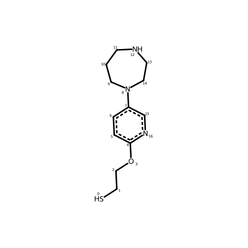 SCCOc1ccc(N2CCCNCC2)cn1